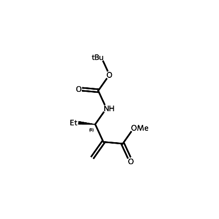 C=C(C(=O)OC)[C@@H](CC)NC(=O)OC(C)(C)C